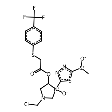 C[S+]([O-])c1nnc([N+]2([O-])CN(CCl)CC2OC(=O)CSc2ccc(C(F)(F)F)cc2)s1